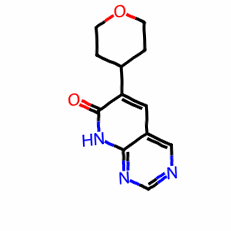 O=c1[nH]c2ncncc2cc1C1CCOCC1